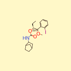 CC[C@H](OC(=O)NC1CC2CCC1C2)[C@@H](OC)c1ccccc1I